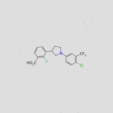 O=C(O)c1cccc(C2CCN(c3ccc(Cl)c(C(F)(F)F)c3)C2)c1F